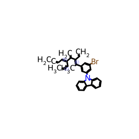 C=C=C/C=C(\C=C/C)C(=C)/C(C=C)=C(\C)c1cc(Br)cc(-n2c3ccccc3c3ccccc32)c1